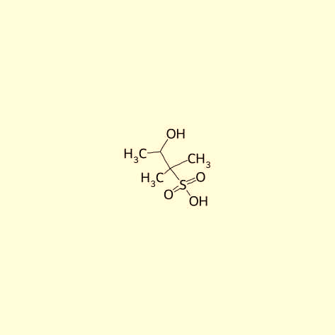 CC(O)C(C)(C)S(=O)(=O)O